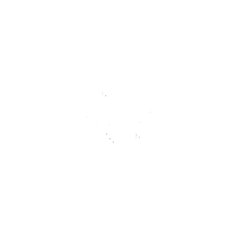 Nc1cccc2nc[nH]c(=O)c12